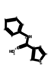 Cl.O=C(Nc1ccccc1)c1ccoc1